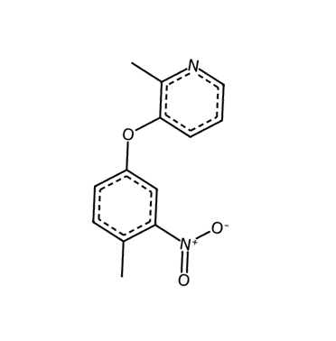 Cc1ccc(Oc2cccnc2C)cc1[N+](=O)[O-]